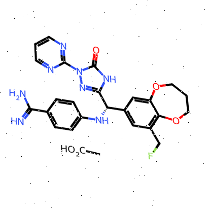 CC(=O)O.N=C(N)c1ccc(N[C@@H](c2cc(CF)c3c(c2)OCCCO3)c2nn(-c3ncccn3)c(=O)[nH]2)cc1